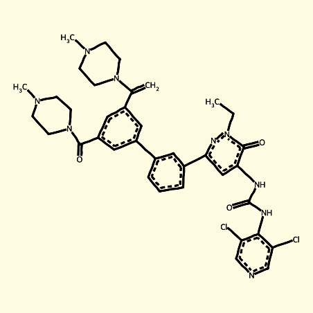 C=C(c1cc(C(=O)N2CCN(C)CC2)cc(-c2cccc(-c3cc(NC(=O)Nc4c(Cl)cncc4Cl)c(=O)n(CC)n3)c2)c1)N1CCN(C)CC1